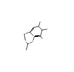 CC1CCC2=CC(C)C(F)C(F)=C2C1